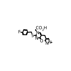 Cn1cc(Cc2cn(CC(=O)O)c(SCc3ccc(F)cc3)nc2=O)cn1